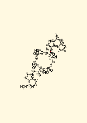 Nc1ncnc2c1ncn2[C@@H]1O[C@@H]2COP(=O)(S)O[C@@H]3[C@H](F)[C@@H](COP(=O)(O)O[C@H]2[C@H]1F)O[C@H]3n1cnc2c(=O)[nH]c3nccn3c21